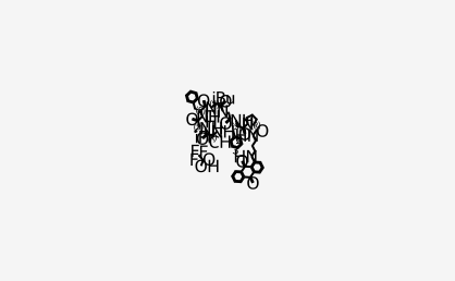 CCC(C)[C@H](NC(=O)[C@H](Cc1ccccc1)NC(=O)[C@H](CC(C)C)NC(=O)[C@@H](C)N)C(=O)NCC(=O)N[C@@H](Cc1ccccc1)C(=O)N1CCC[C@@H]1C(=O)NCCCNc1cccc2c1C(=O)c1ccccc1C2=O.O=C(O)C(F)(F)F